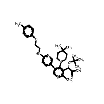 Cc1ccc(OCCNc2ccc(-c3cnc(C)c([C@H](OC(C)(C)C)C(=O)O)c3N3CCC(C)(C)CC3)cn2)cc1